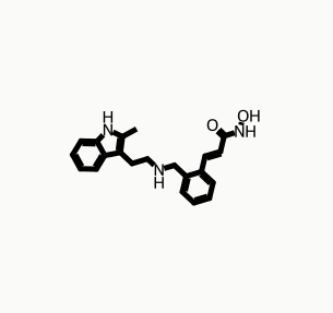 Cc1[nH]c2ccccc2c1CCNCc1ccccc1/C=C/C(=O)NO